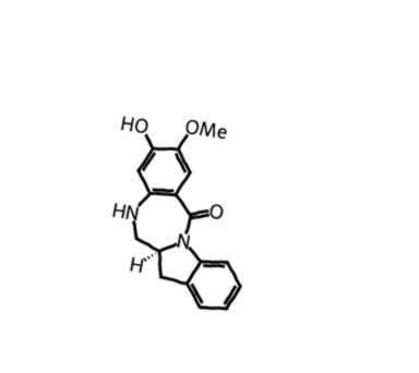 COc1cc2c(cc1O)NC[C@@H]1Cc3ccccc3N1C2=O